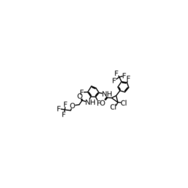 O=C(COCC(F)(F)F)Nc1c(F)ccc(NC(=O)C2C(c3ccc(F)c(C(F)(F)F)c3)C2(Cl)Cl)c1F